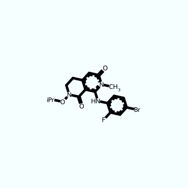 CC(C)ON1CCc2cc(=O)n(C)c(Nc3ccc(Br)cc3F)c2C1=O